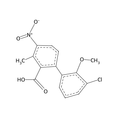 COc1c(Cl)cccc1-c1ccc([N+](=O)[O-])c(C)c1C(=O)O